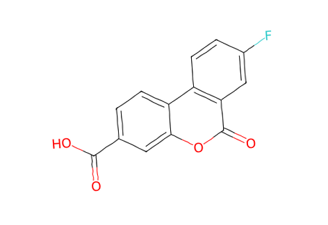 O=C(O)c1ccc2c(c1)oc(=O)c1cc(F)ccc12